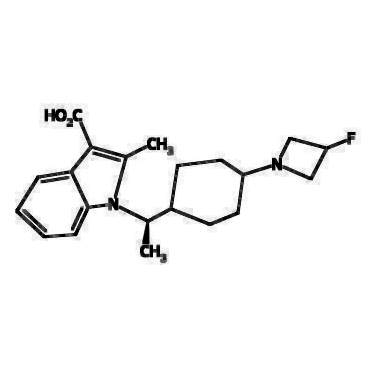 Cc1c(C(=O)O)c2ccccc2n1[C@H](C)C1CCC(N2CC(F)C2)CC1